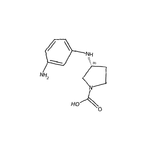 Nc1cccc(N[C@@H]2CCN(C(=O)O)C2)c1